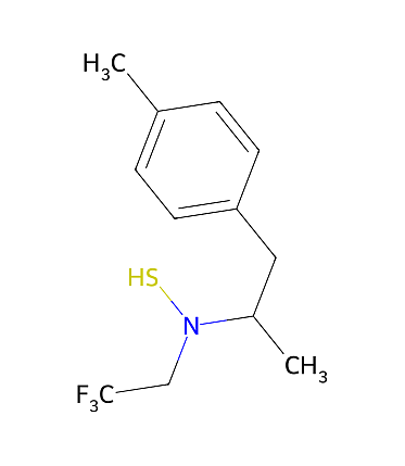 Cc1ccc(CC(C)N(S)CC(F)(F)F)cc1